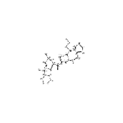 CCCN1C(=O)C(NC(=O)Nc2cc(C)cc(N(C)C3CCCCC3)c2)N=Cc2ccccc21